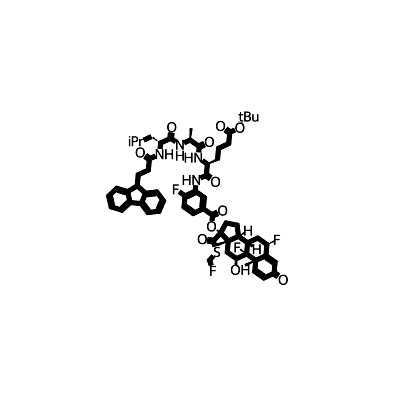 CC(C)C[C@@H](NC(=O)CCC1c2ccccc2-c2ccccc21)C(=O)N[C@@H](C)C(=O)N[C@@H](CCCC(=O)OC(C)(C)C)C(=O)Nc1cc(C(=O)O[C@]2(C(=O)SCF)CC[C@H]3[C@@H]4C[C@H](F)C5=CC(=O)C=C[C@]5(C)[C@@]4(F)[C@@H](O)C[C@@]32C)ccc1F